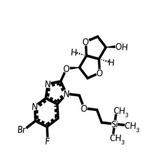 C[Si](C)(C)CCOCn1c(O[C@@H]2CO[C@H]3[C@@H]2OC[C@H]3O)nc2nc(Br)c(F)cc21